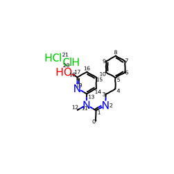 CC(=NCCc1ccccc1)N(C)c1cccc(O)n1.Cl.Cl